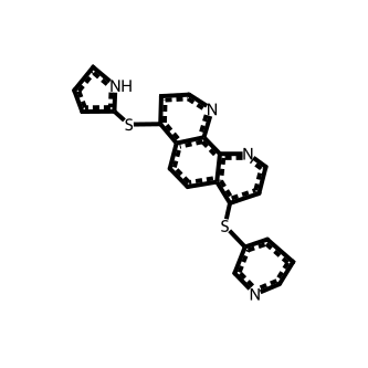 c1cncc(Sc2ccnc3c2ccc2c(Sc4ccc[nH]4)ccnc23)c1